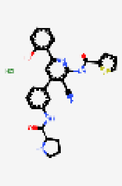 Cl.N#Cc1c(-c2cccc(NC(=O)[C@H]3CCCN3)c2)cc(-c2ccccc2O)nc1NC(=O)c1cccs1